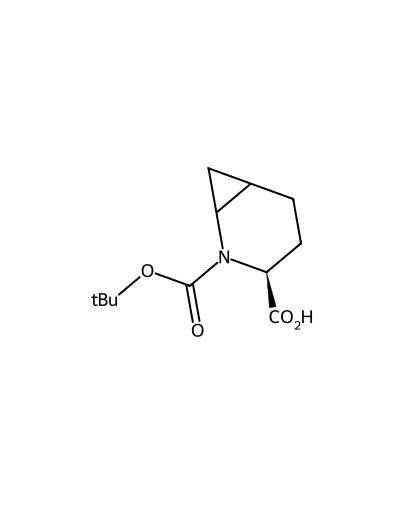 CC(C)(C)OC(=O)N1C2CC2CC[C@H]1C(=O)O